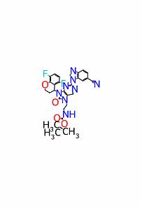 CC(C)(C)OC(=O)NCCn1c(=O)n(C2CCOc3c(F)ccc(F)c32)c2nc(-n3cnc4ccc(C#N)cc43)ncc21